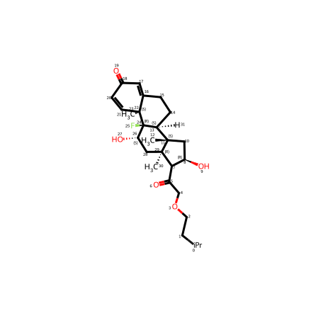 CC(C)CCOCC(=O)C1[C@H](O)C[C@@]2(C)[C@@H]3CCC4=CC(=O)C=C[C@]4(C)[C@@]3(F)[C@@H](O)C[C@]12C